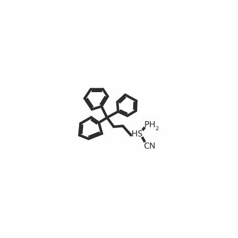 N#C[SH](P)CCCC(c1ccccc1)(c1ccccc1)c1ccccc1